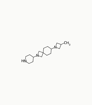 CC1CN(C2CCC3(CC2)CN(C2CCNCC2)C3)C1